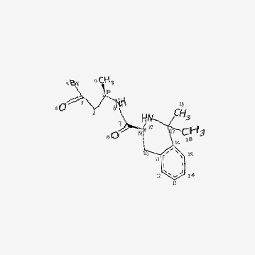 C[C@H](CC(=O)Br)NC(=O)[C@@H]1Cc2ccccc2C(C)(C)N1